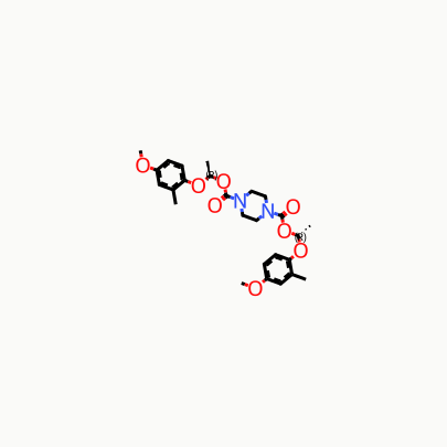 COc1ccc(O[C@@H](C)OC(=O)N2CCN(C(=O)O[C@H](C)Oc3ccc(OC)cc3C)CC2)c(C)c1